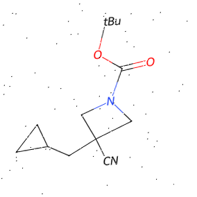 CC(C)(C)OC(=O)N1CC(C#N)(CC2CC2)C1